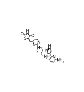 Nc1ccc(CNCC2CCN(c3nccc(/C=C4/SC(=O)NC4=O)n3)CC2)c(-c2cn[nH]c2)n1